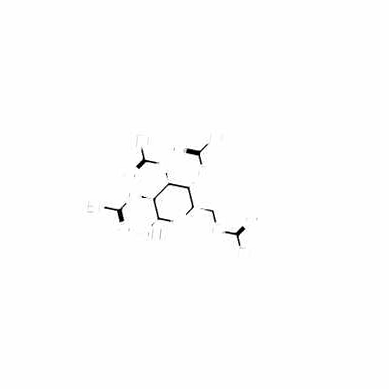 CCC(=O)OC[C@H]1O[C@@H](O)[C@@H](OC(=O)CC)[C@@H](OC(=O)CC)[C@@H]1OC(=O)CC